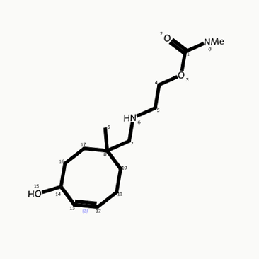 CNC(=O)OCCNCC1(C)CC/C=C\C(O)CC1